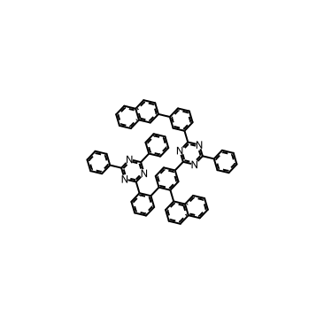 c1ccc(-c2nc(-c3cccc(-c4ccc5ccccc5c4)c3)nc(-c3ccc(-c4ccccc4-c4nc(-c5ccccc5)nc(-c5ccccc5)n4)c(-c4cccc5ccccc45)c3)n2)cc1